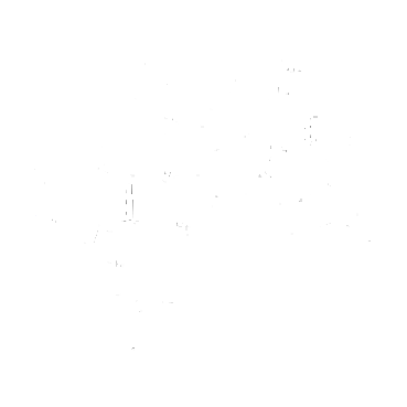 C/C=N\c1cc(OCCP(=O)(CCOc2cc3c(cc2OC)C(=O)N2C[C@H](F)C[C@H]2C=N3)N(C)CCCC(=O)OC)c(OC)cc1C(=O)NC[C@H](F)CC